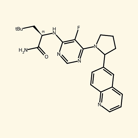 CC(C)(C)C[C@@H](Nc1ncnc(N2CCCC2c2ccc3ncccc3c2)c1F)C(N)=O